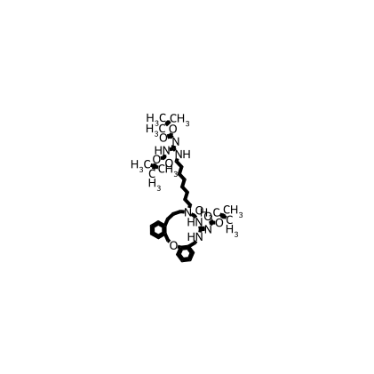 CC(C)(C)OC(=O)/N=C(/NCCCCCCCCN1CCCc2ccccc2COc2ccccc2CN/C(=N/C(=O)OC(C)(C)C)NC1=O)NC(=O)OC(C)(C)C